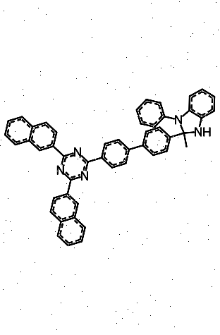 CC1(c2ccc(-c3ccc(-c4nc(-c5ccc6ccccc6c5)nc(-c5ccc6ccccc6c5)n4)cc3)cc2)Nc2ccccc2N1c1ccccc1